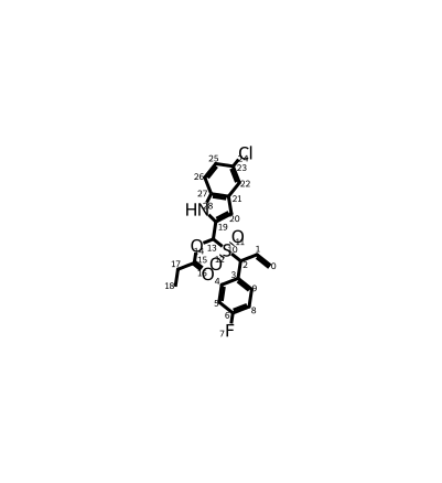 C=CC(c1ccc(F)cc1)S(=O)(=O)C(OC(=O)CC)c1cc2cc(Cl)ccc2[nH]1